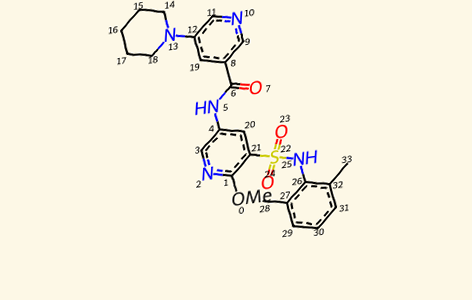 COc1ncc(NC(=O)c2cncc(N3CCCCC3)c2)cc1S(=O)(=O)Nc1c(C)cccc1C